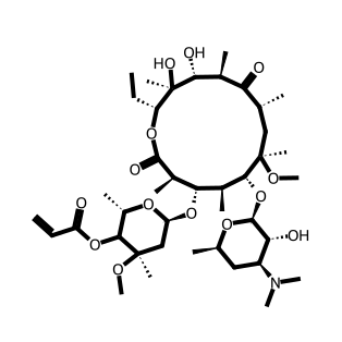 C=CC(=O)OC1[C@H](C)O[C@@H](O[C@H]2[C@H](C)[C@@H](O[C@@H]3O[C@H](C)C[C@H](N(C)C)[C@H]3O)[C@](C)(OC)C[C@@H](C)C(=O)[C@H](C)[C@@H](O)[C@](C)(O)[C@@H](CC)OC(=O)[C@@H]2C)C[C@@]1(C)OC